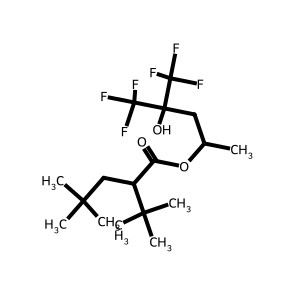 CC(CC(O)(C(F)(F)F)C(F)(F)F)OC(=O)C(CC(C)(C)C)C(C)(C)C